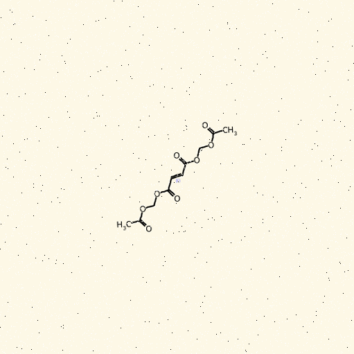 CC(=O)OCOC(=O)/C=C/C(=O)OCOC(C)=O